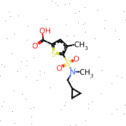 Cc1cc(C(=O)O)sc1S(=O)(=O)N(C)CC1CC1